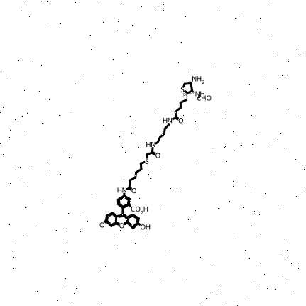 N[C@H]1CS[C@@H](CCCCC(=O)NCCCCCNC(=O)CSCCCCCC(=O)Nc2ccc(-c3c4ccc(=O)cc-4oc4cc(O)ccc34)c(C(=O)O)c2)[C@H]1NC=O